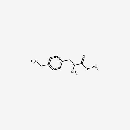 CCc1ccc(CC(N)C(=O)OC)cc1